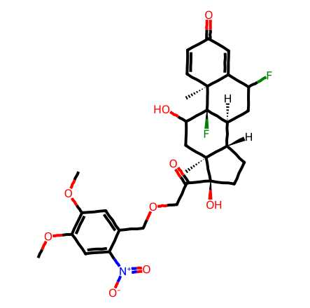 COc1cc(COCC(=O)[C@@]2(O)CC[C@H]3[C@@H]4CC(F)C5=CC(=O)C=C[C@]5(C)[C@@]4(F)C(O)C[C@@]32C)c([N+](=O)[O-])cc1OC